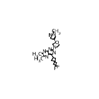 Cc1nc2nc(N3CCO[C@H](c4cnn(C)c4)C3)nc(C3CC4(C3)CC(F)(F)C4)c2nc1C